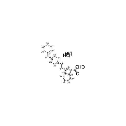 Cl.Cl.O=CC(=O)c1cn(CCN2CCN(CC3CCCCC3)CC2)c2ccccc12